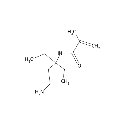 C=C(C)C(=O)NC(CC)(CC)CCN